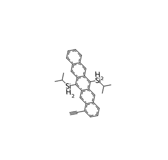 C#Cc1cccc2cc3c([SiH2]C(C)C)c4cc5ccccc5cc4c([SiH2]C(C)C)c3cc12